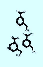 CCc1cccc(C(=O)[O-])c1.CCc1cccc(C(=O)[O-])c1.CCc1cccc(C(=O)[O-])c1.[Al+3]